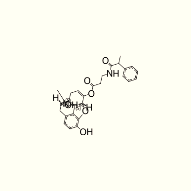 CC(C(=O)NCCC(=O)OC1=CC[C@@]2(O)[C@H]3Cc4ccc(O)c5c4[C@@]2(CCN3C)[C@H]1O5)c1ccccc1